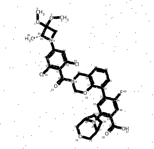 COC1(OC)CN(c2cc(Cl)c(C(=O)N3COc4c(cccc4-c4cc(N5C6CCC5COC6)c(C(=O)O)cc4F)C3)c(Cl)c2)[C@@H]1C